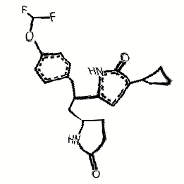 O=C1CC[C@H](CC(c2ccc(OC(F)F)cc2)c2ccc(C3CC3)c(=O)[nH]2)N1